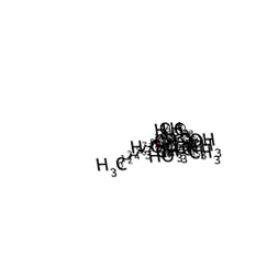 CCCCCCCCCCCCSC(C)CC(c1cc(C(C)(C)C)c(O)cc1C)c1cc(C(C)(C)C)c(O)cc1C